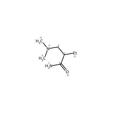 CCC(CN(C)C)C(N)=O